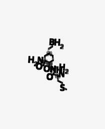 BCC[C@@H]1CC[C@@H](CNC(=O)[C@@H](N)CCSC)[C@@](N)(C(=O)O)C1